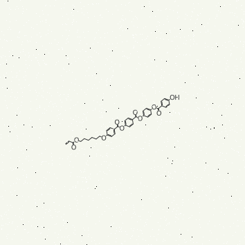 C=CC(=O)OCCCCCCOc1ccc(C(=O)Oc2ccc(C(=O)Oc3ccc(OC(=O)c4ccc(O)cc4)cc3)cc2)cc1